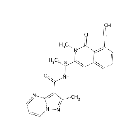 C#Cc1cccc2cc([C@@H](C)NC(=O)c3c(C)nn4cccnc34)n(C)c(=O)c12